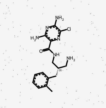 Cc1ccccc1C[C@@H](CN)CNC(=O)c1nc(Cl)c(N)nc1N